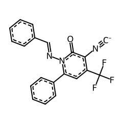 [C-]#[N+]c1c(C(F)(F)F)cc(-c2ccccc2)n(/N=C/c2ccccc2)c1=O